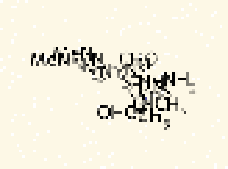 CNCCCn1c(NC)nc2c1ccc[n+]2CC1=C(C=O)N2C(=O)C(NC(=O)/C(=N\O[C@@H](C)C=O)c3nc(N)sc3C)C2SC1